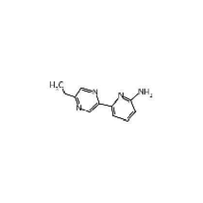 CCc1cnc(-c2cccc(N)n2)cn1